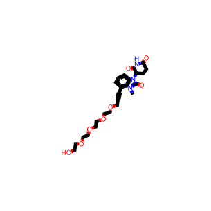 Cn1c(=O)n(C2CCC(=O)NC2=O)c2cccc(C#CCOCCOCCOCCOCCO)c21